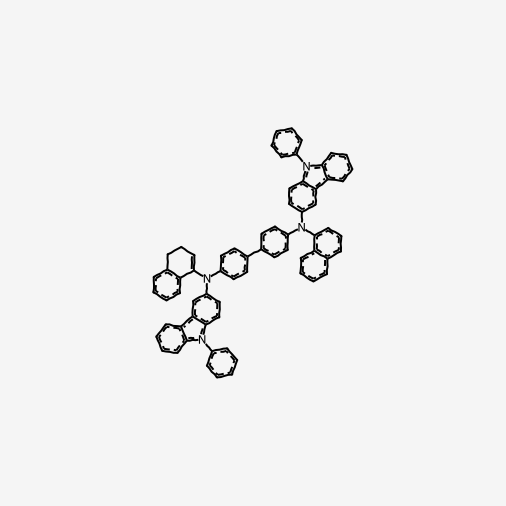 C1=C(N(c2ccc(-c3ccc(N(c4ccc5c(c4)c4ccccc4n5-c4ccccc4)c4cccc5ccccc45)cc3)cc2)c2ccc3c(c2)c2ccccc2n3-c2ccccc2)c2ccccc2CC1